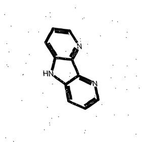 c1cnc2c(c1)[nH]c1cccnc12